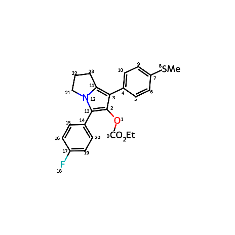 CCOC(=O)Oc1c(-c2ccc(SC)cc2)c2n(c1-c1ccc(F)cc1)CCC2